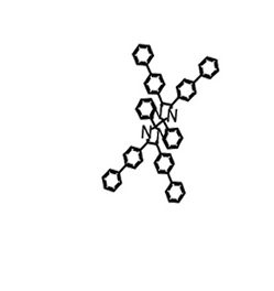 c1ccc(-c2ccc(C3=NC(c4ccccc4)(C4(c5ccccc5)N=C(c5ccc(-c6ccccc6)cc5)C(c5ccc(-c6ccccc6)cc5)=N4)N=C3c3ccc(-c4ccccc4)cc3)cc2)cc1